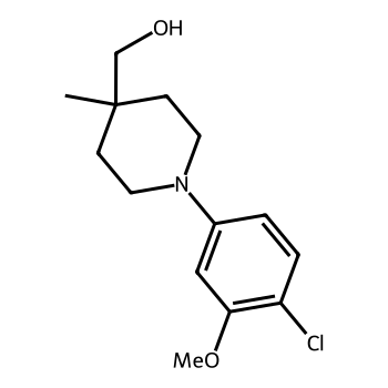 COc1cc(N2CCC(C)(CO)CC2)ccc1Cl